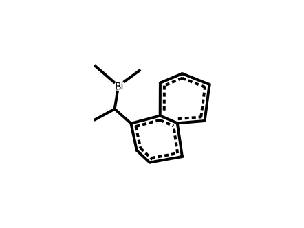 C[CH](c1cccc2ccccc12)[Bi]([CH3])[CH3]